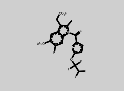 COc1cc2c(CC(=O)O)c(C)n(C(=O)c3ccc(OC(F)(F)C(F)F)s3)c2cc1F